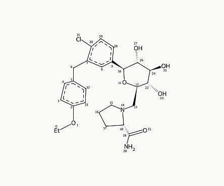 CCOc1ccc(Cc2cc([C@@H]3O[C@H](CN4CCC[C@H]4C(N)=O)[C@@H](O)[C@H](O)[C@H]3O)ccc2Cl)cc1